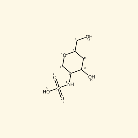 O=S(=O)(O)NC1COC(CO)CC1O